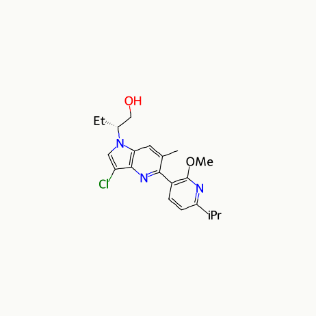 CC[C@H](CO)n1cc(Cl)c2nc(-c3ccc(C(C)C)nc3OC)c(C)cc21